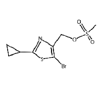 CS(=O)(=O)OCc1nc(C2CC2)sc1Br